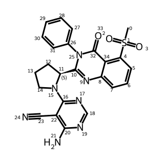 CS(=O)(=O)c1cccc2nc([C@@H]3CCCN3c3ncnc(N)c3C#N)n(-c3ccccc3)c(=O)c12